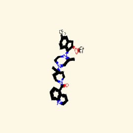 CCOC1Cc2cc(C(F)(F)F)ccc2C1N1CCN(C2(C)CCN(C(=O)c3cccc4ncccc34)CC2)CC1C